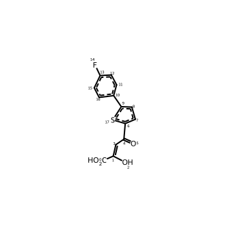 O=C(O)/C(O)=C/C(=O)c1ccc(-c2ccc(F)cc2)s1